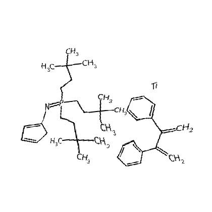 C=C(C(=C)c1ccccc1)c1ccccc1.CC(C)(C)CCP(CCC(C)(C)C)(CCC(C)(C)C)=NC1=CC=CC1.[Ti]